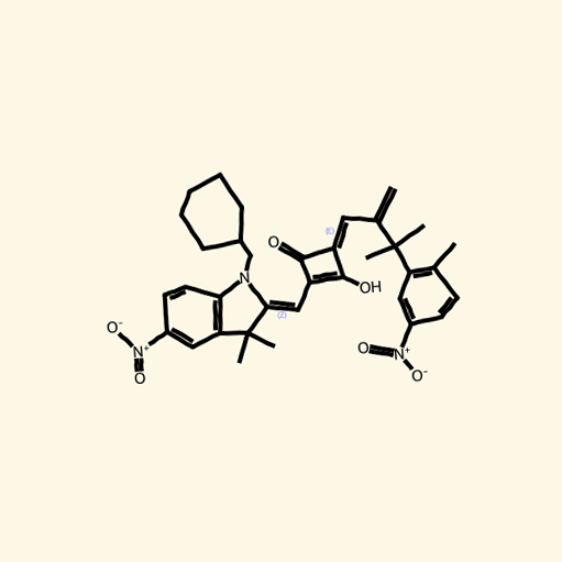 C=C(/C=C1/C(=O)C(/C=C2\N(CC3CCCCC3)c3ccc([N+](=O)[O-])cc3C2(C)C)=C1O)C(C)(C)c1cc([N+](=O)[O-])ccc1C